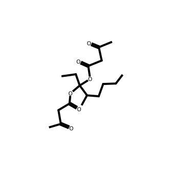 CCCCC(C)C(CC)(OC(=O)CC(C)=O)OC(=O)CC(C)=O